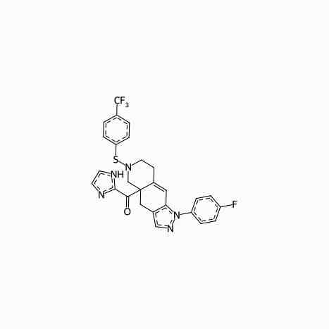 O=C(c1ncc[nH]1)C12Cc3cnn(-c4ccc(F)cc4)c3C=C1CCN(Sc1ccc(C(F)(F)F)cc1)C2